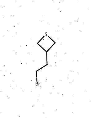 BrCCC1CSC1